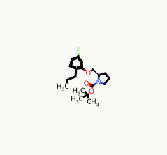 CCCc1ccc(F)cc1OC[C@H]1CCCN1C(=O)OC(C)(C)C